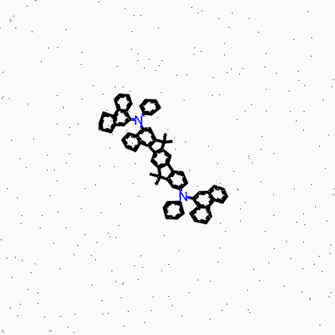 CC1(C)c2cc(N(c3ccccc3)c3cc4ccccc4c4ccccc34)ccc2-c2cc3c(cc21)-c1c(cc(N(c2ccccc2)c2cc4ccccc4c4ccccc24)c2ccccc12)C3(C)C